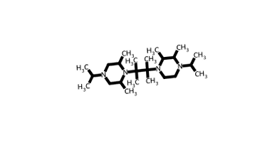 CC(C)N1CC(C)N(C(C)(C)C(C)(C)N2CCN(C(C)C)C(C)C2C)C(C)C1